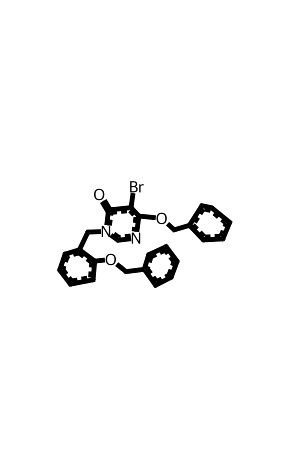 O=c1c(Br)c(OCc2ccccc2)ncn1Cc1ccccc1OCc1ccccc1